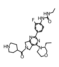 CCNC(=O)Nc1ccc(-c2nc3c(c(N4CCOC[C@@H]4CC)n2)CN(C(=O)C2CCNCC2)C3)cc1F